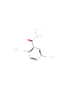 COc1ccc(OC)c(C(=O)NC(C)(C)C)c1